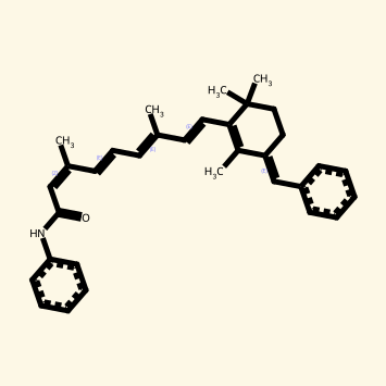 CC1=C(/C=C/C(C)=C/C=C/C(C)=C\C(=O)Nc2ccccc2)C(C)(C)CC/C1=C\c1ccccc1